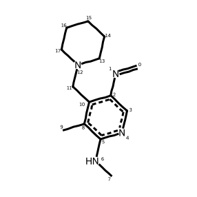 C=Nc1cnc(NC)c(C)c1CN1CCCCC1